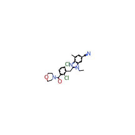 CCn1c(Cc2c(Cl)ccc(C(=O)N3CCOCC3)c2Cl)nc2c(C)cc(C#N)cc21